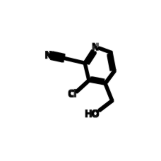 N#Cc1nccc(CO)c1Cl